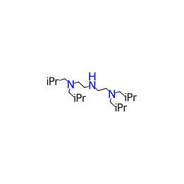 CC(C)CN(CCNCCN(CC(C)C)CC(C)C)CC(C)C